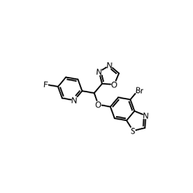 Fc1ccc(C(Oc2cc(Br)c3ncsc3c2)c2nnco2)nc1